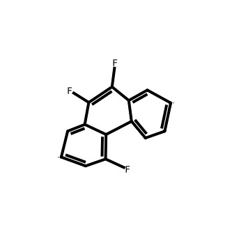 Fc1c(F)c2c[c]cc(F)c2c2cc[c]cc12